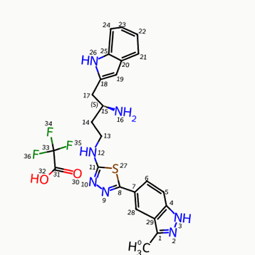 Cc1n[nH]c2ccc(-c3nnc(NCC[C@H](N)Cc4cc5ccccc5[nH]4)s3)cc12.O=C(O)C(F)(F)F